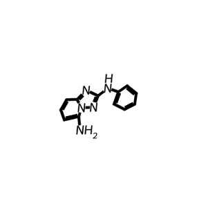 Nc1cccc2nc(Nc3ccccc3)nn12